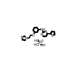 O=P(O)(O)O.c1cc(Nc2nccc(-c3cccs3)n2)cc(OCCn2ccnc2)c1